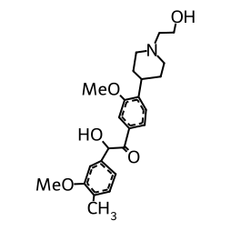 COc1cc(C(O)C(=O)c2ccc(C3CCN(CCO)CC3)c(OC)c2)ccc1C